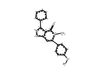 CC(C)Oc1ccc(-c2cc3onc(-c4ccccc4)c3c(=O)n2C)cc1